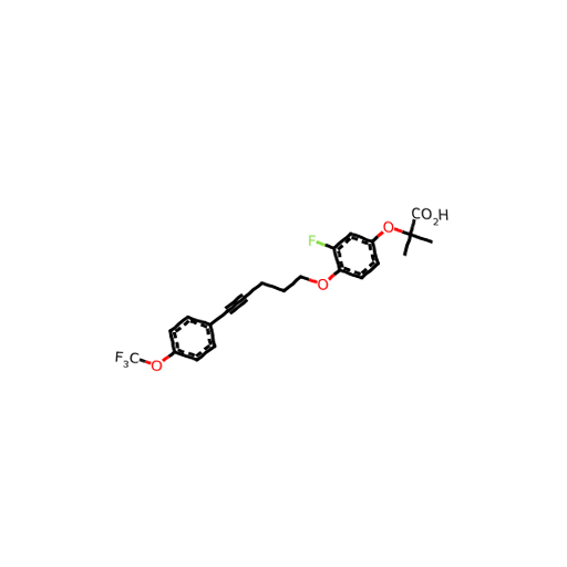 CC(C)(Oc1ccc(OCCCC#Cc2ccc(OC(F)(F)F)cc2)c(F)c1)C(=O)O